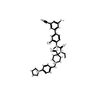 CCN(C(=O)N(C)c1ccc(-c2cc(F)cc(C#N)c2)cc1Cl)C1(C=O)CCN(Cc2ccc(N3CCCC3)cc2)CC1